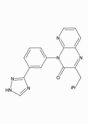 CC(C)Cc1nc2cccnc2n(-c2cccc(-c3nc[nH]n3)c2)c1=O